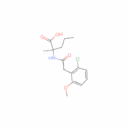 CCCC(C)(NC(=O)Cc1c(Cl)cccc1OC)C(=O)O